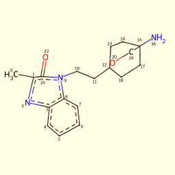 Cc1nc2ccccc2n(CCC23CCC(N)(CC2)CO3)c1=O